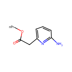 CCCOC(=O)Cc1cccc(N)n1